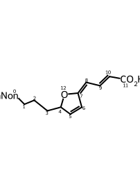 CCCCCCCCCCCCC1C=CC(=CC=CC(=O)O)O1